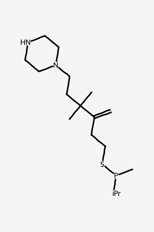 C=C(CCSP(C)C(C)C)C(C)(C)CCN1CCNCC1